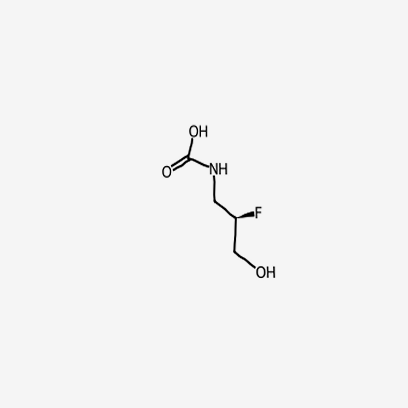 O=C(O)NC[C@@H](F)CO